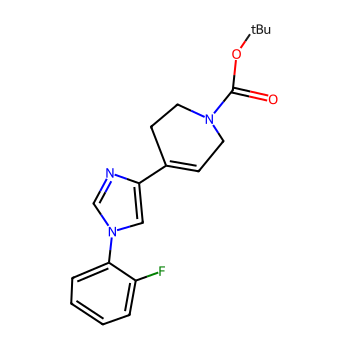 CC(C)(C)OC(=O)N1CC=C(c2cn(-c3ccccc3F)cn2)CC1